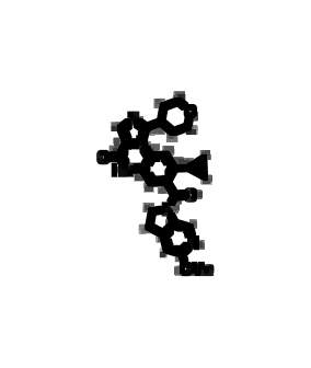 COc1cc2c(cn1)N(C(=O)c1cc3[nH]c(=O)c4cnc(C5CCOCC5)n4c3cc1C1CC1)CC2